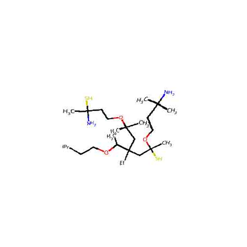 CCC(CC(C)(C)OCCC(C)(N)S)(CC(C)(S)OCCC(C)(C)N)C(C)OCCC(C)C